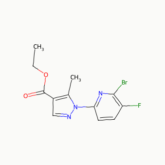 CCOC(=O)c1cnn(-c2ccc(F)c(Br)n2)c1C